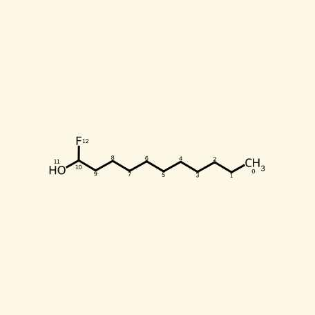 CCCCCCCCCCC(O)F